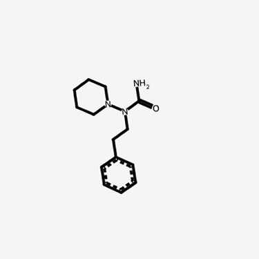 NC(=O)N(CCc1ccccc1)N1CCCCC1